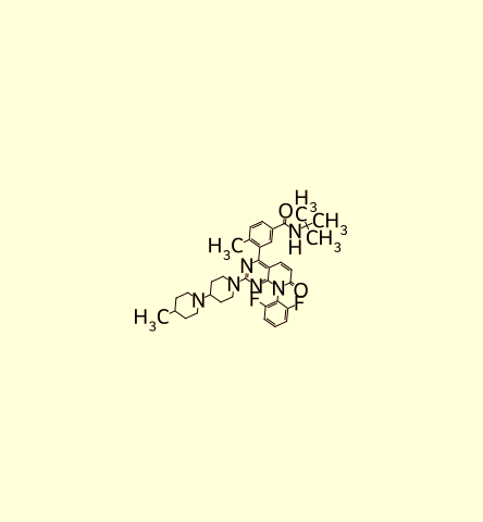 Cc1ccc(C(=O)NC(C)(C)C)cc1-c1nc(N2CCC(N3CCC(C)CC3)CC2)nc2c1ccc(=O)n2-c1c(F)cccc1F